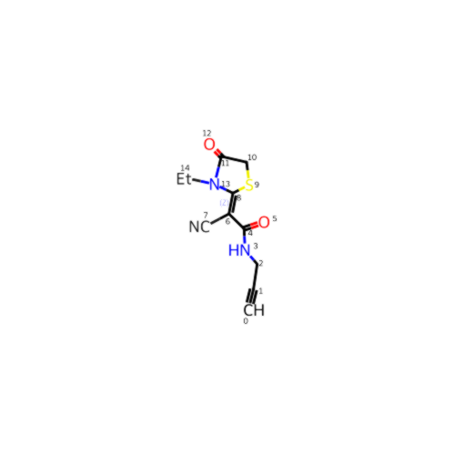 C#CCNC(=O)/C(C#N)=C1\SCC(=O)N1CC